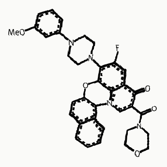 COc1cccc(N2CCN(c3c(F)cc4c(=O)c(C(=O)N5CCOCC5)cn5c4c3Oc3ccc4ccccc4c3-5)CC2)c1